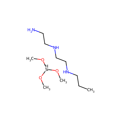 CCCNCCNCCN.CO[SiH](OC)OC